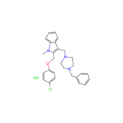 Cl.Cn1c(COc2ccc(Cl)cc2)c(CN2CCN(Cc3ccccc3)CC2)c2ccccc21